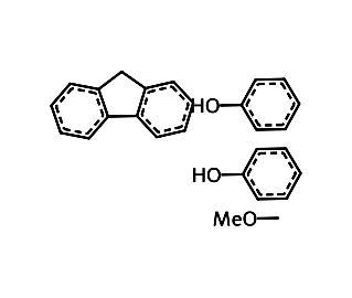 COC.Oc1ccccc1.Oc1ccccc1.c1ccc2c(c1)Cc1ccccc1-2